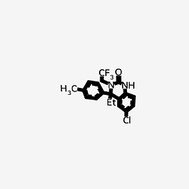 CCC1(c2ccc(C)cc2)c2cc(Cl)ccc2NC(=O)N1CC(F)(F)F